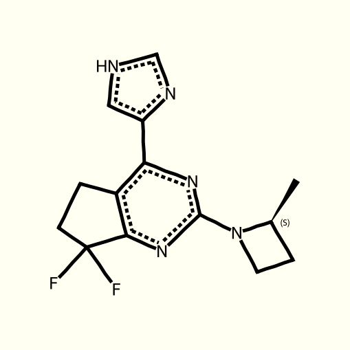 C[C@H]1CCN1c1nc(-c2c[nH]cn2)c2c(n1)C(F)(F)CC2